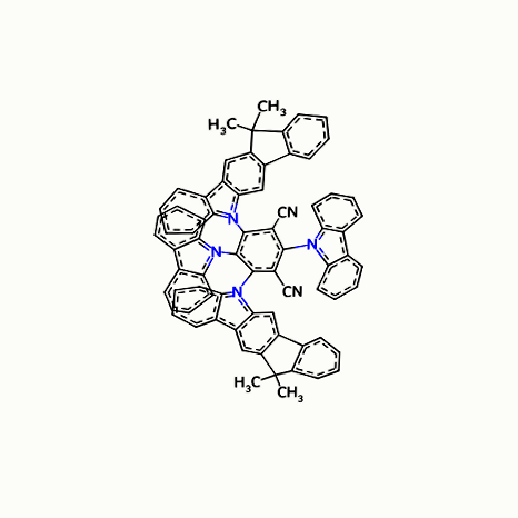 CC1(C)c2ccccc2-c2cc3c(cc21)c1ccccc1n3-c1c(C#N)c(-n2c3ccccc3c3ccccc32)c(C#N)c(-n2c3ccccc3c3cc4c(cc32)-c2ccccc2C4(C)C)c1-n1c2ccccc2c2ccccc21